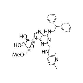 COC[C@H]1O[C@@H](n2cnc3c(NCC(c4ccccc4)c4ccccc4)nc(CNc4ccc(C)nc4C)nc32)[C@H](O)[C@@H]1O